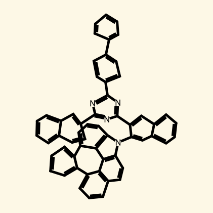 c1ccc(-c2ccc(-c3nc(-c4ccc5ccccc5c4)nc(-c4cc5ccccc5cc4-n4c5cccc6c5c5c7c(cccc7ccc54)-c4ccccc4-6)n3)cc2)cc1